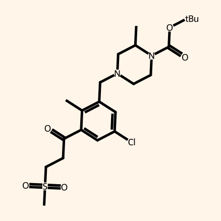 Cc1c(CN2CCN(C(=O)OC(C)(C)C)C(C)C2)cc(Cl)cc1C(=O)CCS(C)(=O)=O